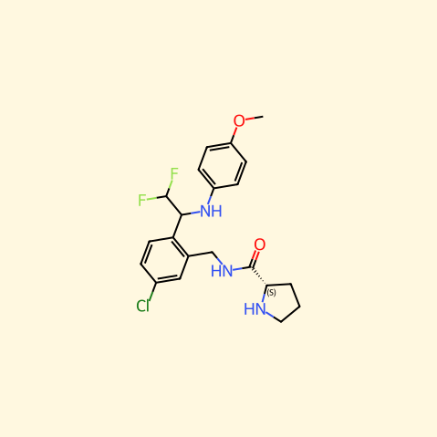 COc1ccc(NC(c2ccc(Cl)cc2CNC(=O)[C@@H]2CCCN2)C(F)F)cc1